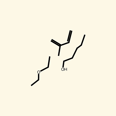 C=CC(=C)C.CCCCCO.CCOCC